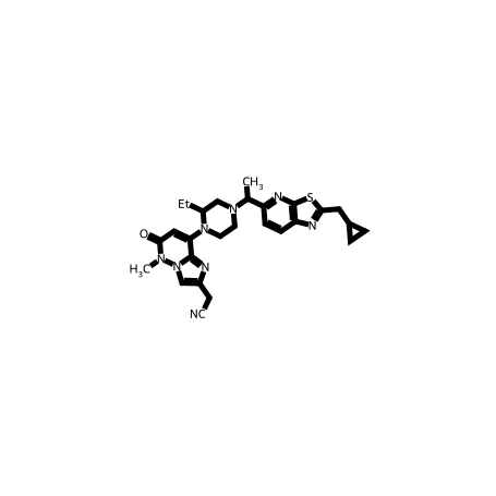 CCC1CN(C(C)c2ccc3nc(CC4CC4)sc3n2)CCN1c1cc(=O)n(C)n2cc(CC#N)nc12